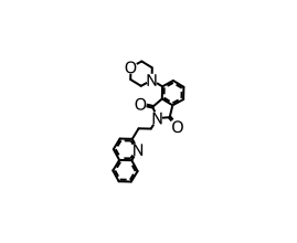 O=C1c2cccc(N3CCOCC3)c2C(=O)N1CCc1ccc2ccccc2n1